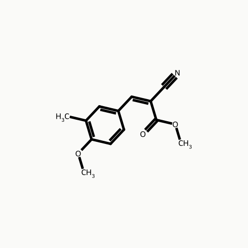 COC(=O)C(C#N)=Cc1ccc(OC)c(C)c1